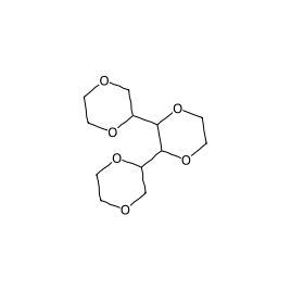 C1COC(C2OCCOC2C2COCCO2)CO1